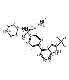 CC(C)(C)c1cc2c(-c3ccc(S(=O)(=O)NC4CCNCC4)cc3)ccnc2[nH]1.Cl.Cl